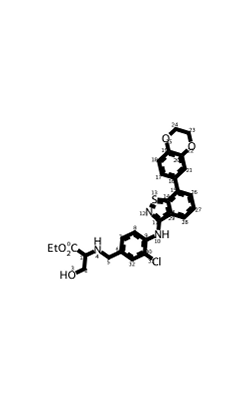 CCOC(=O)C(CO)NCc1ccc(Nc2nsc3c(-c4ccc5c(c4)OCCO5)cccc23)c(Cl)c1